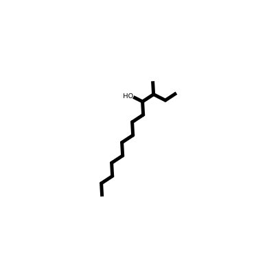 CCCCCCCCCC(O)C(C)CC